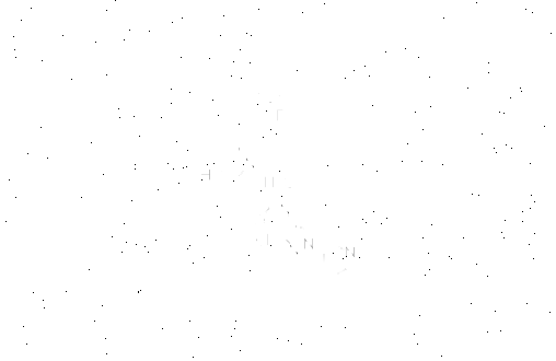 CCN(C(=O)CCC(C)=NOCCC1CC1(F)F)c1cn(-c2cccnc2)nc1Cl